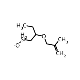 C=C(C)COC(CC)C[SiH2][O]